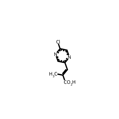 C/C(=C\c1cnc(Cl)cn1)C(=O)O